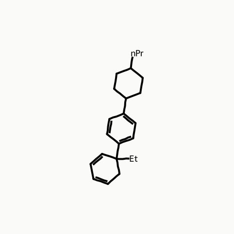 CCCC1CCC(c2ccc(C3(CC)C=CC=CC3)cc2)CC1